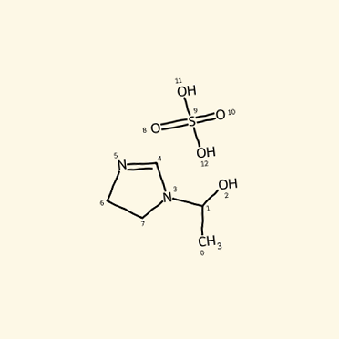 CC(O)N1C=NCC1.O=S(=O)(O)O